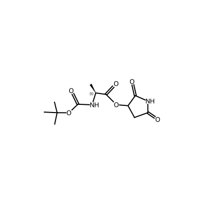 C[C@H](NC(=O)OC(C)(C)C)C(=O)OC1CC(=O)NC1=O